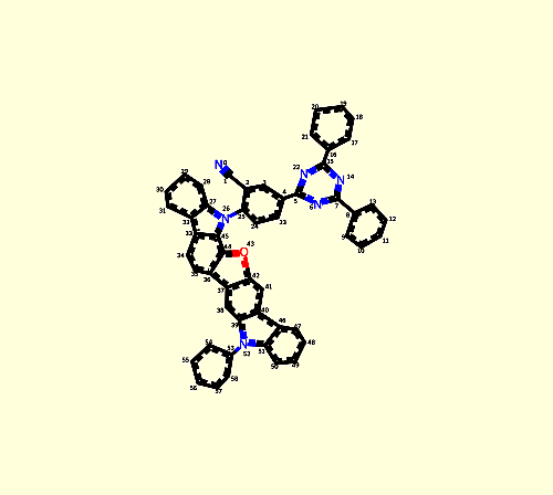 N#Cc1cc(-c2nc(-c3ccccc3)nc(-c3ccccc3)n2)ccc1-n1c2ccccc2c2ccc3c4cc5c(cc4oc3c21)c1ccccc1n5-c1ccccc1